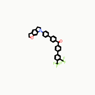 O=C(c1ccc(-c2ccc(N3CCc4cc5c(cc43)OCC5)cc2)cc1)c1ccc(-c2ccc(C(F)(F)F)c(C(F)(F)F)c2)cc1